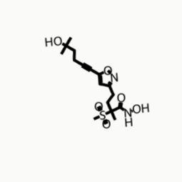 CC(C)(O)CCC#Cc1cc(CCC(C)(C(=O)NO)S(C)(=O)=O)no1